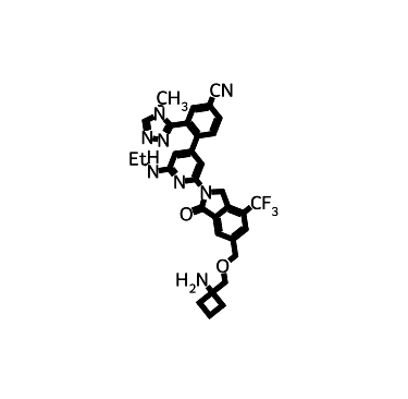 CCNc1cc(-c2ccc(C#N)cc2-c2nncn2C)cc(N2Cc3c(cc(COCC4(N)CCC4)cc3C(F)(F)F)C2=O)n1